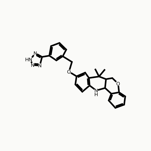 CC1(C)c2cc(OCc3cccc(-c4nn[nH]n4)c3)ccc2NC2c3ccccc3OCC21